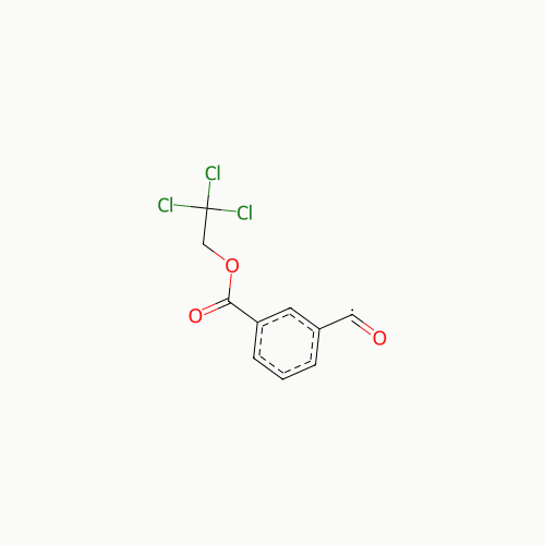 O=[C]c1cccc(C(=O)OCC(Cl)(Cl)Cl)c1